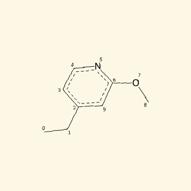 CCc1ccnc(OC)c1